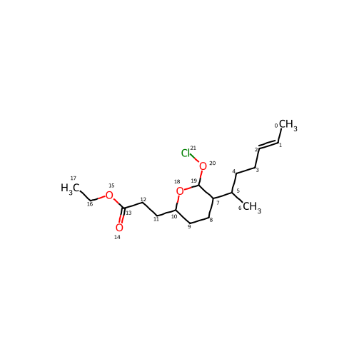 CC=CCCC(C)C1CCC(CCC(=O)OCC)OC1OCl